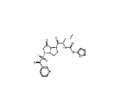 CCCC(NC(=O)Oc1ccco1)C(=O)N1CCC2C1C(=O)CN2S(=O)(=O)C(=O)c1cccnc1